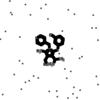 Cc1c(CO)c(C(C)C)c(Sc2cccc(Cl)c2)n1Cc1ccncc1